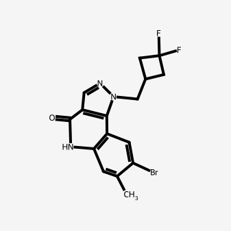 Cc1cc2[nH]c(=O)c3cnn(CC4CC(F)(F)C4)c3c2cc1Br